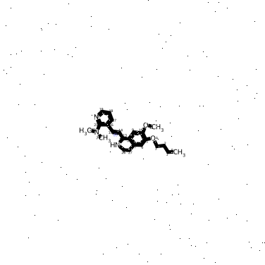 CCCCOc1cc2c(cc1OC)C(/C=C/c1cccnc1N(C)C)NCC2